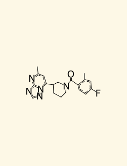 Cc1cc(C2CCCN(C(=O)c3ccc(F)cc3C)C2)n2ncnc2n1